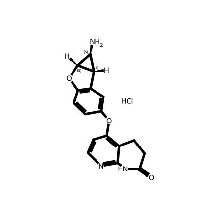 Cl.N[C@@H]1[C@H]2Oc3ccc(Oc4ccnc5c4CCC(=O)N5)cc3[C@@H]12